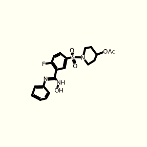 CC(=O)OC1CCN(S(=O)(=O)c2ccc(F)c(/C(=N/c3ccccc3)NO)c2)CC1